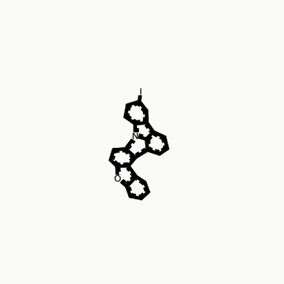 Ic1ccc2c(c1)c1cccc3c4c5c(ccc4n2c13)oc1ccccc15